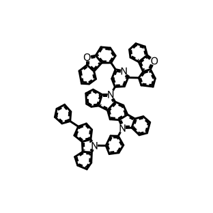 c1ccc(-c2ccc3c(c2)c2ccccc2n3-c2cccc(-n3c4ccccc4c4cc5c(cc43)c3ccccc3n5-c3cc(-c4cccc5oc6ccccc6c45)nc(-c4cccc5oc6ccccc6c45)c3)c2)cc1